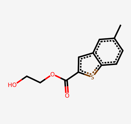 Cc1ccc2sc(C(=O)OCCO)cc2c1